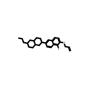 C=CCOc1ccc2cc(C3CCC4CC(CCC)CCC4C3)ccc2c1F